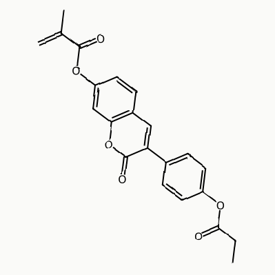 C=C(C)C(=O)Oc1ccc2cc(-c3ccc(OC(=O)CC)cc3)c(=O)oc2c1